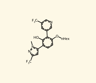 CCCCCCOc1ccc(-c2cc(C(F)(F)F)nn2C)c(O)c1-c1cncc(C(F)(F)F)c1